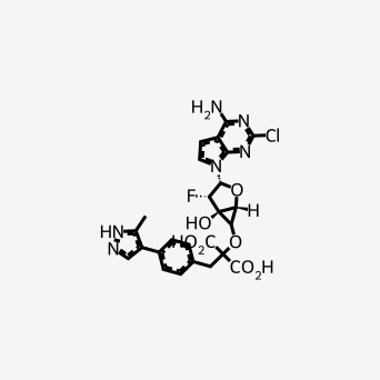 Cc1[nH]ncc1-c1ccc(CC(OC2[C@H]3O[C@@H](n4ccc5c(N)nc(Cl)nc54)[C@@H](F)[C@@]23O)(C(=O)O)C(=O)O)cc1